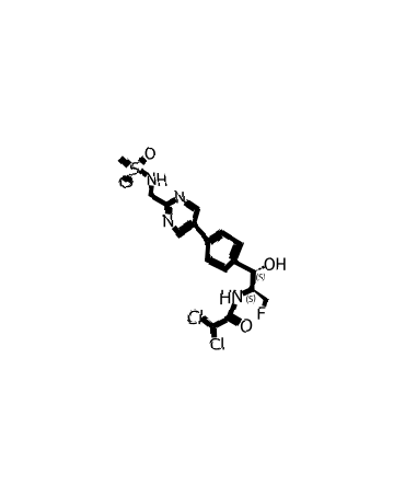 CS(=O)(=O)NCc1ncc(-c2ccc([C@H](O)[C@@H](CF)NC(=O)C(Cl)Cl)cc2)cn1